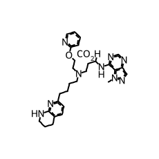 Cn1ncc2ncnc(NC(CCN(CCCCc3ccc4c(n3)NCCC4)CCOc3ccccn3)C(=O)O)c21